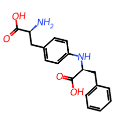 N[C@@H](Cc1ccc(N[C@@H](Cc2ccccc2)C(=O)O)cc1)C(=O)O